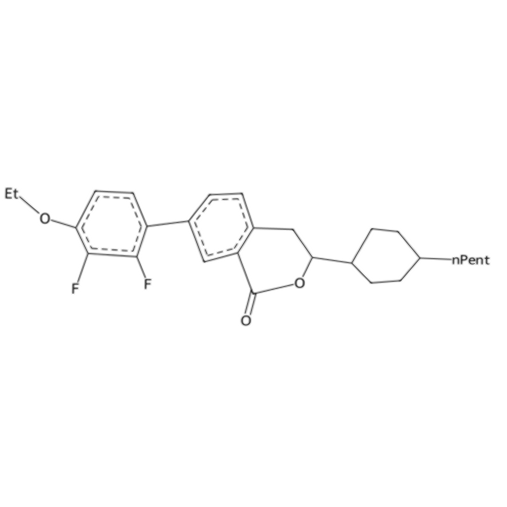 CCCCCC1CCC(C2Cc3ccc(-c4ccc(OCC)c(F)c4F)cc3C(=O)O2)CC1